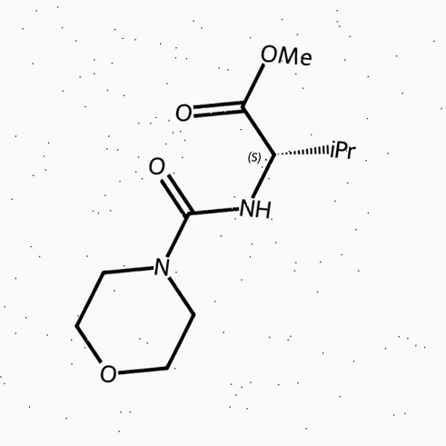 COC(=O)[C@@H](NC(=O)N1CCOCC1)C(C)C